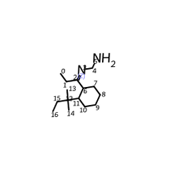 CC/C(=N/CN)C1CCCCC1C(C)(C)CC